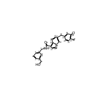 O=C(NCc1cccc(CO)n1)c1cnn2cc(Cc3ccc(F)c(Cl)c3)cnc12